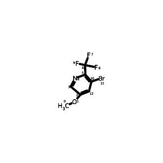 COc1cnc(C(F)(F)F)c(Br)c1